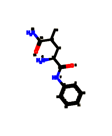 CC(C[C@H](N)C(=O)Nc1ccccc1)C(N)=O